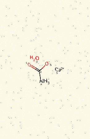 O.O=[C]([O-])[AlH3-].[Ca+2]